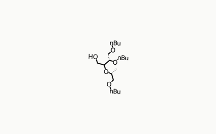 CCCCOC[C@@H](C)OC(CO)[C@H](COCCCC)OCCCC